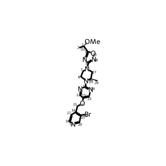 CO[C@@H](C)c1nc(N2CCN(c3ncc(OCc4ccncc4Br)cn3)[C@H](C)C2)no1